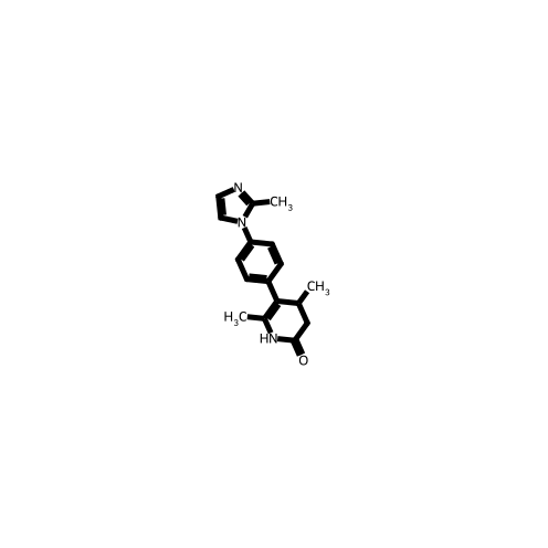 CC1=C(c2ccc(-n3ccnc3C)cc2)C(C)CC(=O)N1